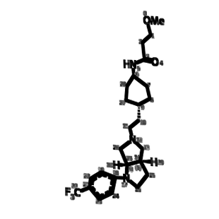 COCCC(=O)N[C@H]1CC[C@H](CCN2C[C@@H]3CCN(c4ccc(C(F)(F)F)cc4)[C@@H]3C2)CC1